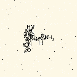 CNCCC[C@@H](NC(=O)[C@H](Cc1ccc(C(C)=O)cc1)NC(=O)COCCNC(=O)CN)C(N)=O